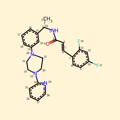 C[C@H](NC(=O)/C=C/c1ccc(F)cc1F)c1cccc(N2CCN(c3ccccn3)CC2)c1